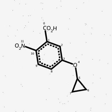 O=C(O)c1cc(OC2CC2)ccc1[N+](=O)[O-]